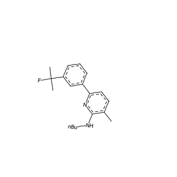 CCCCNc1nc(-c2cccc(C(C)(C)F)c2)ccc1C